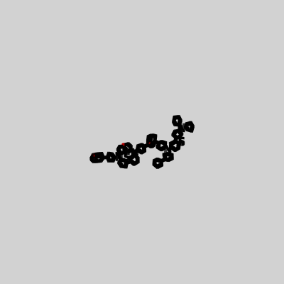 c1ccc(-c2cccc(N(c3ccc(C45CC6CC(C4)C(c4ccc(N(c7ccccc7)c7cccc8c7sc7c(N(c9ccccc9)c9ccc(C%10%11CC%12CC(CC(C%12)C%10)C%11)cc9)cccc78)cc4)C(C6)C5)cc3)c3ccc4sc5cc(N(c6ccccc6)c6ccccc6)ccc5c4c3)c2)cc1